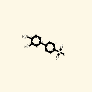 CS(=O)(=O)c1ccc(-c2ccc(N)c(C#N)c2)cc1